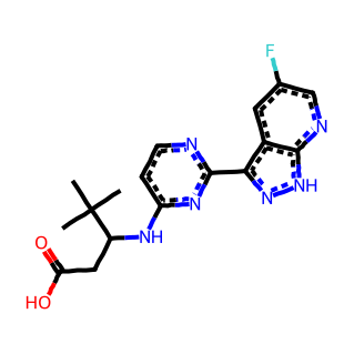 CC(C)(C)C(CC(=O)O)Nc1ccnc(-c2n[nH]c3ncc(F)cc23)n1